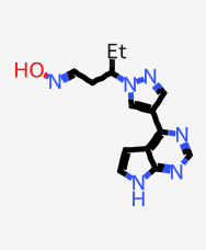 CCC(CC=NO)n1cc(-c2ncnc3[nH]ccc23)cn1